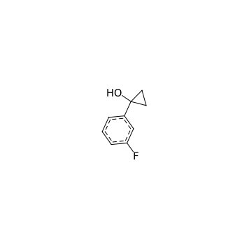 OC1(c2cccc(F)c2)CC1